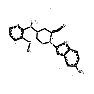 CCOc1cccnc1N(C)C1CCN(c2cc3cc([N+](=O)[O-])ccc3[nH]2)C(=C=O)C1